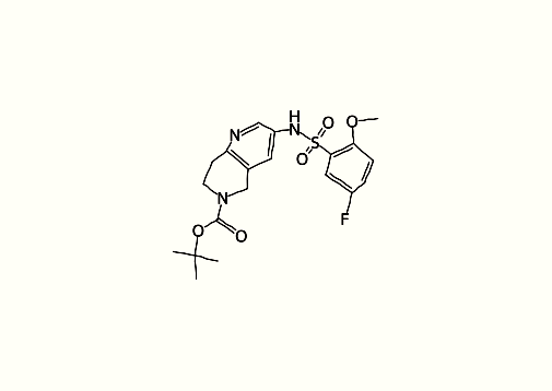 COc1ccc(F)cc1S(=O)(=O)Nc1cnc2c(c1)CN(C(=O)OC(C)(C)C)CC2